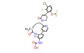 C[C@@H]1CCC[C@H](N2CCC(c3c(OC(F)F)ccc(Cl)c3F)=CC2=O)c2cc(ccn2)-c2ccc(NC(=O)O)cc2NC1=O